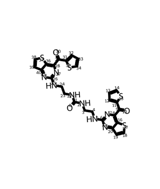 O=C(NCCNc1nc(C(=O)c2cccs2)c2sccc2n1)NCCNc1nc(C(=O)c2cccs2)c2sccc2n1